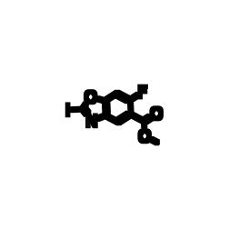 COC(=O)c1cc2nc(I)oc2cc1F